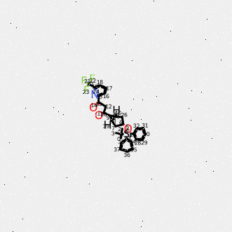 CC(C)(C)[Si](OC1C[C@@H]2C(C(=O)CC(=O)c3cccc(C(F)(F)F)n3)[C@@H]2C1)(c1ccccc1)c1ccccc1